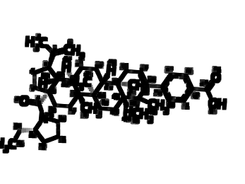 C=C(C)[C@@H]1CC[C@]2(C(=O)N3CCC[C@@H]3CC)CC[C@]3(C)[C@H](CC[C@@H]4[C@@]5(C)CC=C(c6ccc(C(=O)O)cc6)C(C)(C)[C@@H]5CC[C@]43C)[C@@H]12